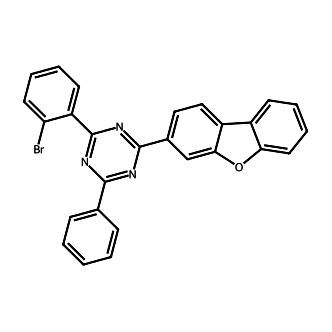 Brc1ccccc1-c1nc(-c2ccccc2)nc(-c2ccc3c(c2)oc2ccccc23)n1